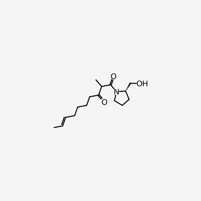 C/C=C/CCCCC(=O)C(C)C(=O)N1CCC[C@@H]1CO